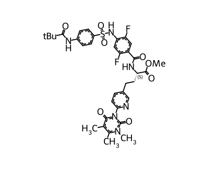 COC(=O)[C@H](CCc1ccc(-n2c(=O)c(C)c(C)n(C)c2=O)nc1)NC(=O)c1cc(F)c(NS(=O)(=O)c2ccc(NC(=O)C(C)(C)C)cc2)cc1F